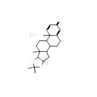 CC1(C)O[C@@H]2CC3C4CCC5=CC(=O)C=CC5(C)C4[C@@H](O)CC3(C)[C@]2(C=O)O1